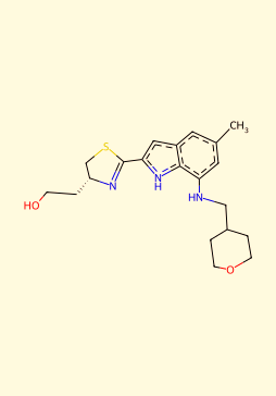 Cc1cc(NCC2CCOCC2)c2[nH]c(C3=N[C@H](CCO)CS3)cc2c1